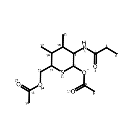 CCC(=O)NC1C(OC(C)=O)SC(COC(C)=O)C(C)C1C